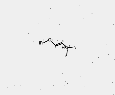 CC(C)OC=C[SiH](C)C